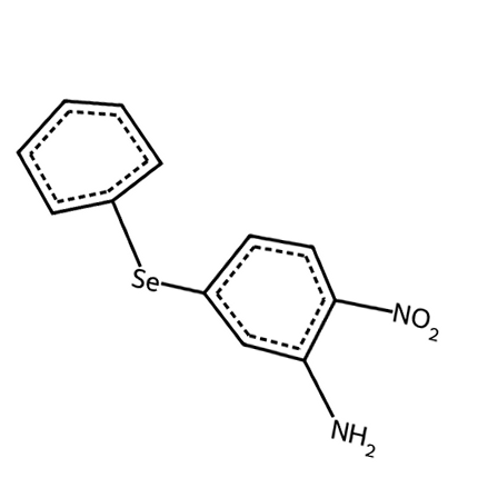 Nc1cc([Se]c2ccccc2)ccc1[N+](=O)[O-]